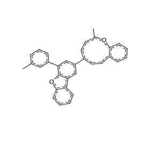 Cc1cccc(-c2cc(-c3ccc(C)oc4ccccc4cc3)cc3c2oc2ccccc23)c1